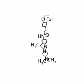 Cc1cc(N2CCC(N(C)C)CC2)nc2ccc(NC(=O)/C=C/c3ccc(OC(F)(F)F)cc3)cc12